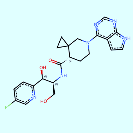 O=C(N[C@@H](CO)[C@H](O)c1ccc(F)cn1)[C@H]1CCN(c2ncnc3[nH]ccc23)CC12CC2